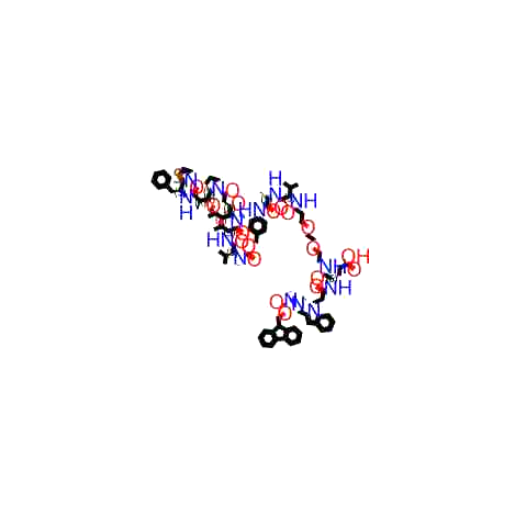 CC[C@H](C)[C@@H]([C@@H](CC(=O)N1CCC[C@H]1[C@H](OC)[C@@H](C)C(=O)N[C@@H](Cc1ccccc1)c1nccs1)OC)N(C)C(=O)[C@@H](NC(=O)[C@H](C(C)C)N(C)C(=O)OCc1ccc(NC(=O)[C@H](C)NC(=O)[C@@H](NC(=O)CCOCCOCCNC(=O)[C@H](CCC(=O)O)NC(=O)CCn2c(CN(C)N(C)C(=O)OCC3c4ccccc4-c4ccccc43)cc3ccccc32)C(C)C)cc1)C(C)C